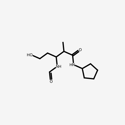 CC(C(=O)NC1CCCC1)C(CCO)NC=O